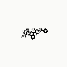 CCCC1(CCc2ccccc2)CC(O)=C(C(CC)c2ccccc2-c2nc(S(N)(=O)=O)c3[nH]cnc3n2)C(=O)O1